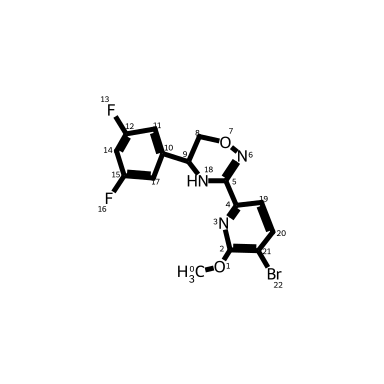 COc1nc(C2=NOCC(c3cc(F)cc(F)c3)N2)ccc1Br